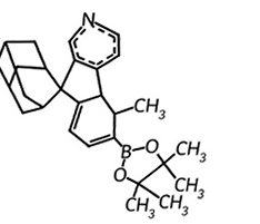 CC1C(B2OC(C)(C)C(C)(C)O2)=CC=C2C1c1ccncc1C21C2CC3CC(C2)CC1C3